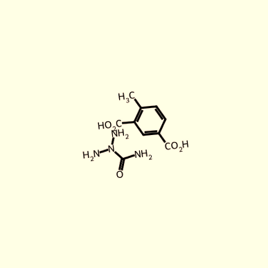 Cc1ccc(C(=O)O)cc1C(=O)O.NC(=O)N(N)N